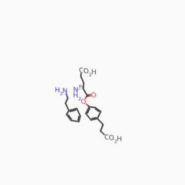 NCCc1ccccc1.N[C@H](CCC(=O)O)C(=O)Oc1ccc(CCC(=O)O)cc1